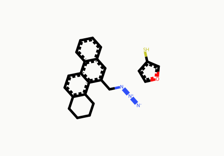 Sc1ccoc1.[N-]=[N+]=NCc1cc2ccccc2c2ccc3c(c12)CCCC3